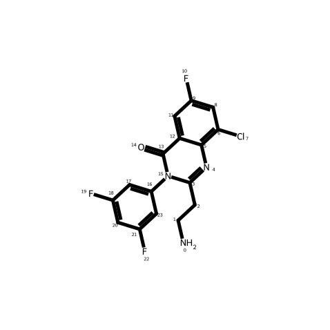 NCCc1nc2c(Cl)cc(F)cc2c(=O)n1-c1cc(F)cc(F)c1